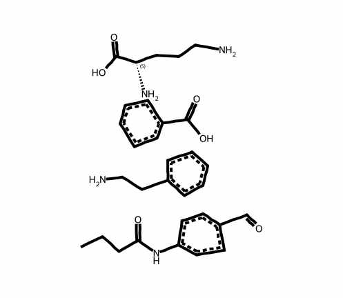 CCCC(=O)Nc1ccc(C=O)cc1.NCCC[C@H](N)C(=O)O.NCCc1ccccc1.O=C(O)c1ccccc1